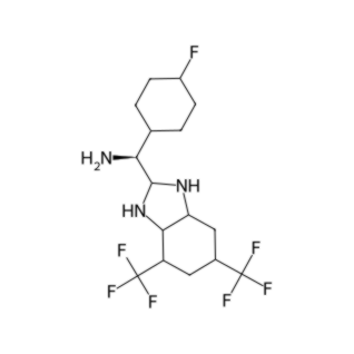 N[C@@H](C1CCC(F)CC1)C1NC2CC(C(F)(F)F)CC(C(F)(F)F)C2N1